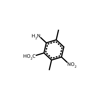 Cc1cc([N+](=O)[O-])c(C)c(C(=O)O)c1N